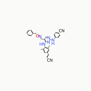 Cc1cc(/C=C/C#N)cc(C)c1Nc1nc(Nc2ccc(C#N)cc2)ncc1/C=N/OCc1ccccc1